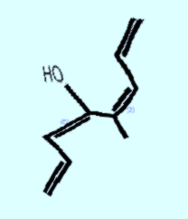 C=C/C=C(C)\C(O)=C/C=C